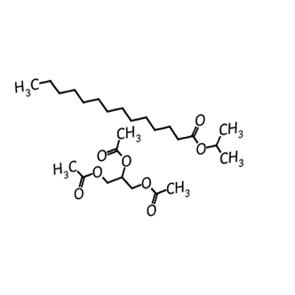 CC(=O)OCC(COC(C)=O)OC(C)=O.CCCCCCCCCCCCCC(=O)OC(C)C